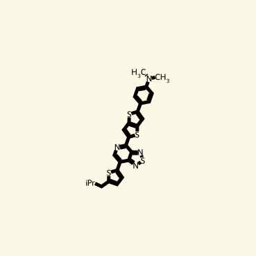 CC(C)Cc1ccc(-c2cnc(-c3cc4sc(-c5ccc(N(C)C)cc5)cc4s3)c3nsnc23)s1